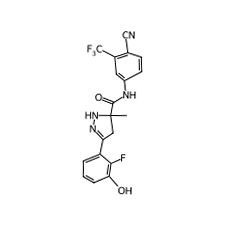 CC1(C(=O)Nc2ccc(C#N)c(C(F)(F)F)c2)CC(c2cccc(O)c2F)=NN1